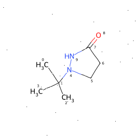 CC(C)(C)N1CCC(=O)N1